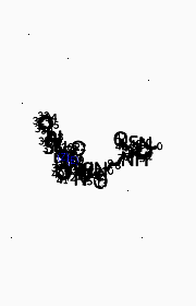 Cc1ccc2c(NCCCCNC(=O)c3cnc(N/N=C(C=O)\C(=N/N(C)c4nc(-c5ccccc5)cs4)c4ccccc4)s3)c(C=O)sc2n1